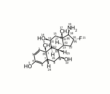 C[C@]12C=CC(O)=C[C@H]1C[C@H](O)[C@@H]1[C@@H]2[C@@H](O)C[C@]2(C)[C@@H](N)[C@H](F)C[C@@H]12